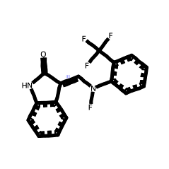 O=C1Nc2ccccc2/C1=C\N(F)c1ccccc1C(F)(F)F